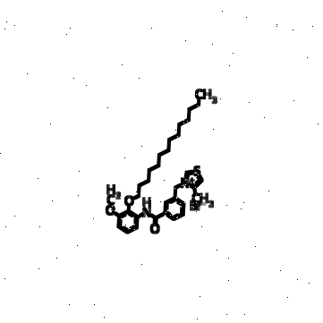 CCCCCCCCCCCCCCOc1c(NC(=O)c2cccc(C[n+]3cscc3C)c2)cccc1OC.[Br-]